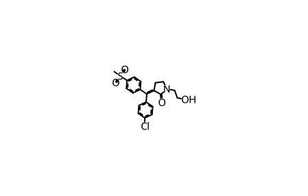 CS(=O)(=O)c1ccc(/C(=C2\CCN(CCO)C2=O)c2ccc(Cl)cc2)cc1